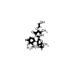 COc1c([C@H]2[C@H](c3nc(=O)c(OCCO)c(C)[nH]3)O[C@@](C)(C(F)(F)F)[C@H]2C)ccc(F)c1F